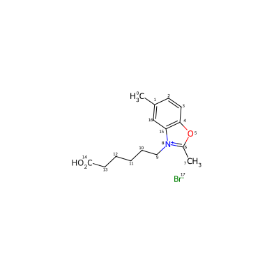 Cc1ccc2oc(C)[n+](CCCCCC(=O)O)c2c1.[Br-]